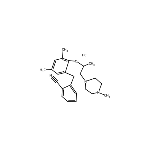 Cc1cc(C)c(OC(C)CN2CCN(C)CC2)c(Cc2ccccc2C#N)c1.Cl